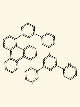 c1ccc(-c2cc(-c3cccc(-c4cccc(-c5cccc6c7ccccc7c7ccccc7c56)c4)c3)cc(-c3cccnc3)n2)nc1